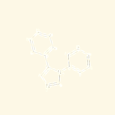 [c]1ccc(-n2cncc2-c2ccccc2)cc1